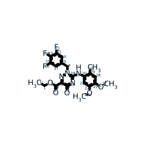 CCOC(=O)c1nn(Cc2cc(F)c(F)c(F)c2)c(Nc2cc(OC)c(OC)cc2C)nc1=O